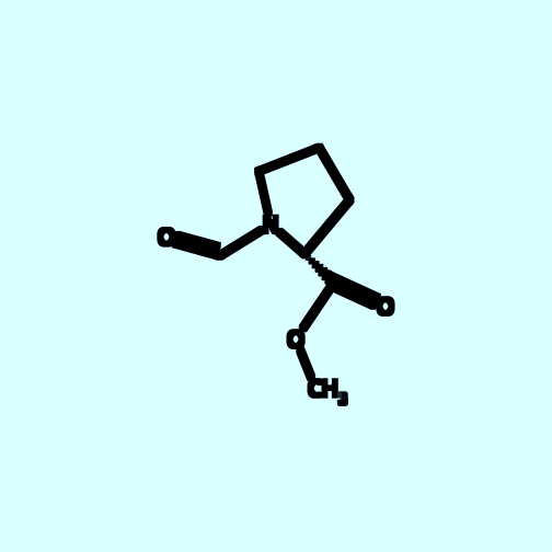 COC(=O)[C@H]1CCCN1C=O